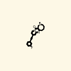 CN1CCCCc2nc3cc(C#Cc4cccc(F)c4)ccn3c(=O)c2C1